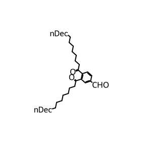 CCCCCCCCCCCCCCCCCC(=O)c1ccc(C=O)cc1C(=O)CCCCCCCCCCCCCCCCC